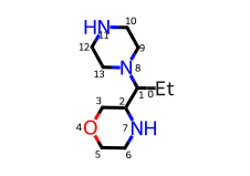 CCC(C1COCCN1)N1CCNCC1